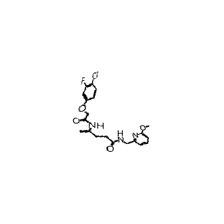 C=C(CCC(=O)NCc1cccc(OC)n1)NC(=O)COc1ccc(Cl)c(F)c1